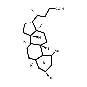 CC(=O)C1C[C@@H](O)C[C@H]2CC[C@H]3[C@@H]4CC[C@H]([C@H](C)CCC(=O)O)[C@@]4(C)CC[C@@H]3[C@@]12C